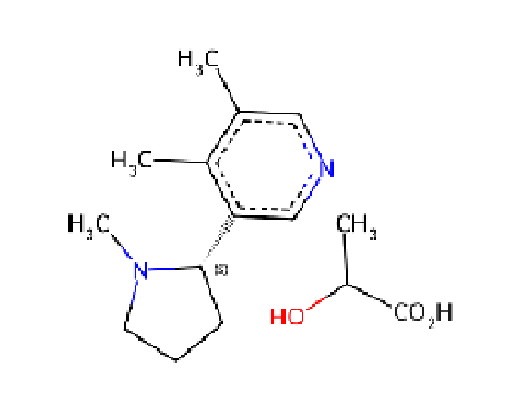 CC(O)C(=O)O.Cc1cncc([C@@H]2CCCN2C)c1C